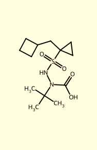 CC(C)(C)N(NS(=O)(=O)C1(CC2CCC2)CC1)C(=O)O